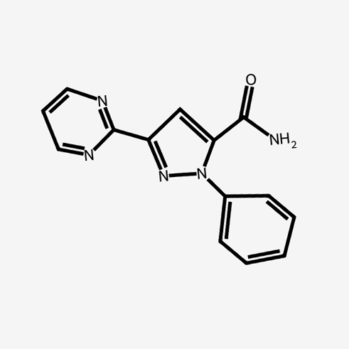 NC(=O)c1cc(-c2ncccn2)nn1-c1ccccc1